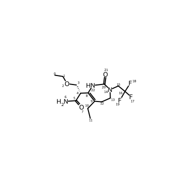 CCOC[C@@H](C(N)=O)C1=C(CC)CCN(CC(F)(F)F)C(=O)N1